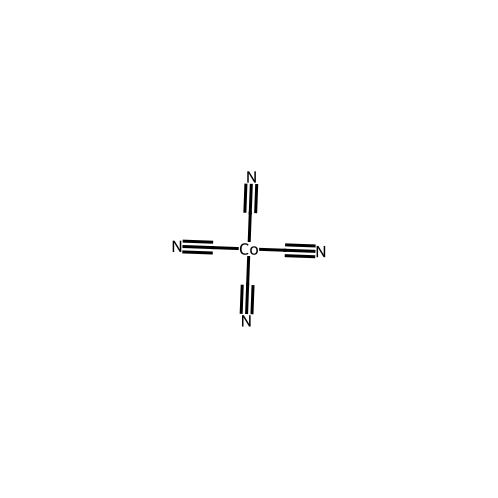 N#[C][Co]([C]#N)([C]#N)[C]#N